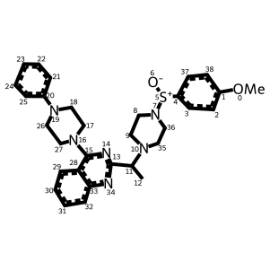 COc1ccc([S+]([O-])N2CCN(C(C)c3nc(N4CCN(c5ccccc5)CC4)c4ccccc4n3)CC2)cc1